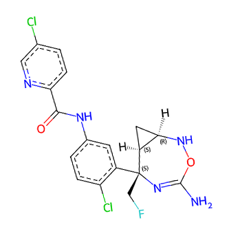 NC1=N[C@](CF)(c2cc(NC(=O)c3ccc(Cl)cn3)ccc2Cl)[C@H]2C[C@H]2NO1